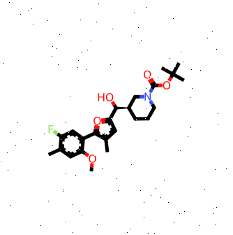 COc1cc(C)c(F)cc1-c1oc(C(O)[C@@H]2CCCN(C(=O)OC(C)(C)C)C2)cc1C